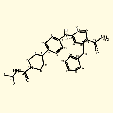 CC(C)NC(=O)N1CCC(c2ccc(Nc3cc(Cc4ccccc4)c(C(N)=O)cn3)cc2)CC1